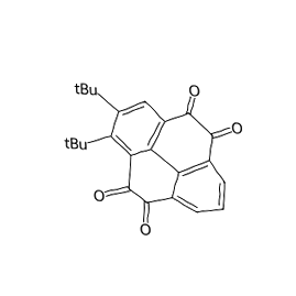 CC(C)(C)c1cc2c3c(c1C(C)(C)C)c(=O)c(=O)c1cccc(c1-3)c(=O)c2=O